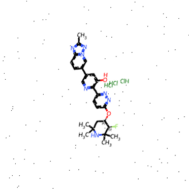 Cc1nc2ccc(-c3cnc(-c4ccc(O[C@@H]5CC(C)(C)NC(C)(C)[C@@H]5F)nn4)c(O)c3)cn2n1.Cl.Cl.Cl